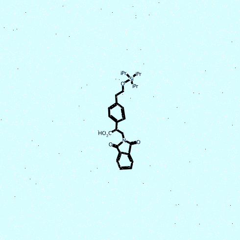 CC(C)[Si](OCCc1ccc(C(CN2C(=O)c3ccccc3C2=O)C(=O)O)cc1)(C(C)C)C(C)C